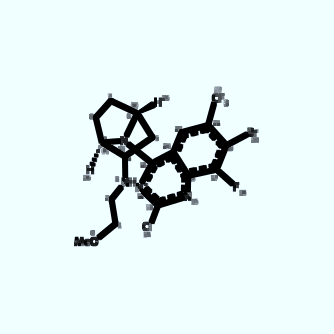 COCCNC1C[C@H]2CC[C@H]1N2c1nc(Cl)nc2c(F)c(Br)c(C(F)(F)F)cc12